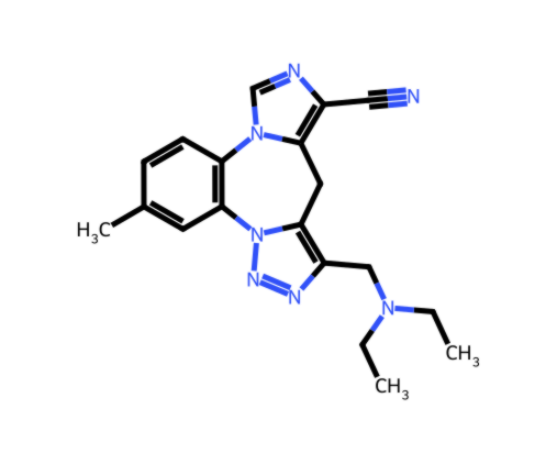 CCN(CC)Cc1nnn2c1Cc1c(C#N)ncn1-c1ccc(C)cc1-2